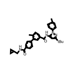 Cc1ccc(-n2nc(C(C)(C)C)cc2NC(=O)c2ccc(C)c(-c3ccc(C(=O)NCC4CC4)cc3)c2)cc1